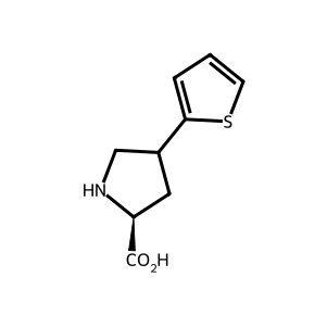 O=C(O)[C@@H]1CC(c2cccs2)CN1